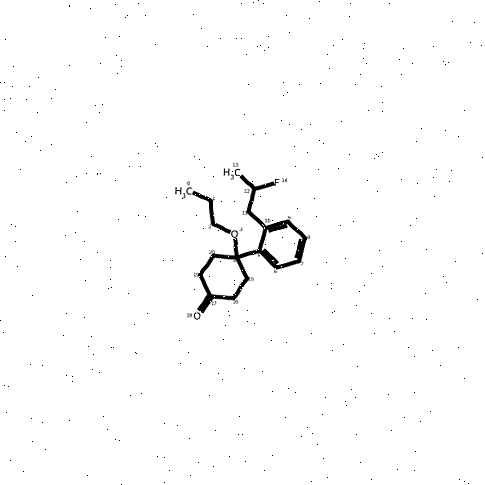 CCCOC1(c2ccccc2CC(C)F)CCC(=O)CC1